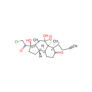 C#CCC[C@@]1(C)C(=O)CC[C@H]2[C@@H]3CC[C@](O)(C(=O)CCl)[C@@]3(C)CC(O)(O)C21F